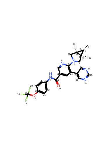 C[C@@H]1[C@H]2CN(c3ncc(C(=O)Nc4ccc(OC(F)(F)F)cc4)cc3-c3cncnc3)C[C@@H]12